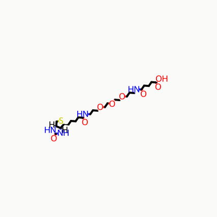 O=C(O)CCCC(=O)NCCCOCCOCCOCCCNC(=O)CCCC[C@@H]1SC[C@@H]2NC(=O)N[C@@H]21